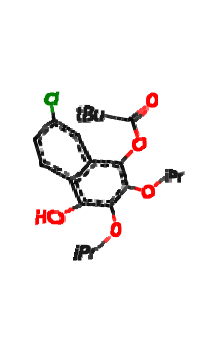 CC(C)Oc1c(OC(C)C)c(OC(=O)C(C)(C)C)c2cc(Cl)ccc2c1O